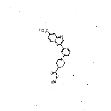 CC(C)(C)OC(=O)C1CCN(c2cccc(-c3cnc4cc(C(=O)O)ccc4n3)c2)CC1